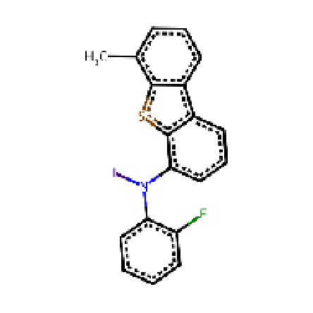 Cc1cccc2c1sc1c(N(I)c3ccccc3F)cccc12